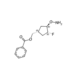 NO[C@@H]1C[C@@H](COC(=O)c2ccccc2)C[C@H]1F